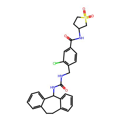 O=C(NCc1ccc(C(=O)NC2CCS(=O)(=O)C2)cc1Cl)NC1c2ccccc2CCc2ccccc21